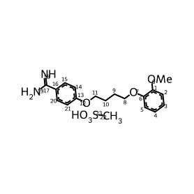 COc1ccccc1OCCCCOc1ccc(C(=N)N)cc1.CS(=O)(=O)O